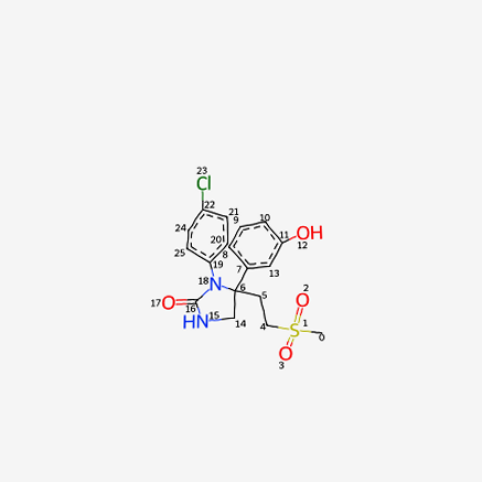 CS(=O)(=O)CCC1(c2cccc(O)c2)CNC(=O)N1c1ccc(Cl)cc1